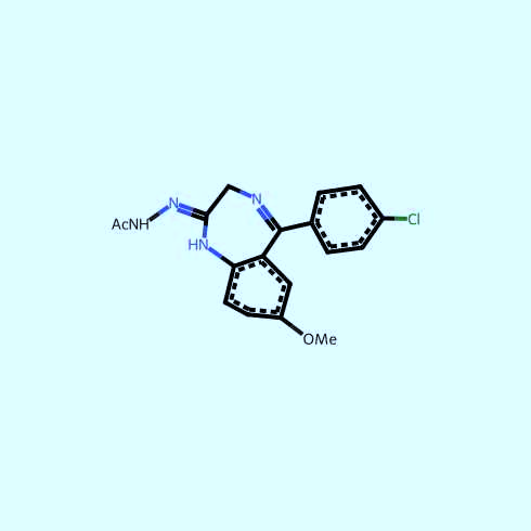 COc1ccc2c(c1)C(c1ccc(Cl)cc1)=NC/C(=N/NC(C)=O)N2